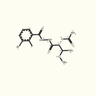 Cc1c(Br)cccc1C(=O)NNC(=O)[C@H](OC(N)=O)C(OC(C)(C)C)C(C)(C)C